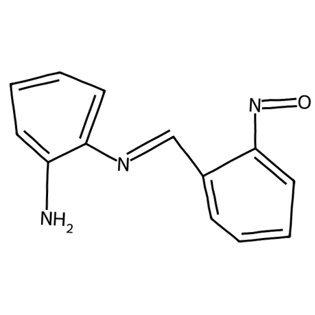 Nc1ccccc1/N=C/c1ccccc1N=O